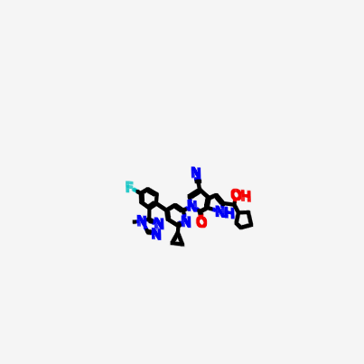 Cn1cnnc1-c1cc(F)ccc1-c1cc(C2CC2)nc(-n2cc(C#N)c3cc(C(O)C4CCCC4)[nH]c3c2=O)c1